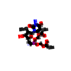 COC1C(O)[C@@H](/C=C\P(OCOC(=O)C(C)(C)C)OCOC(=O)C(C)(C)C)O[C@H]1n1ccc(=O)[nH]c1=O